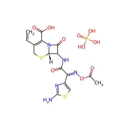 C=CC1=C(C(=O)O)N2C(=O)C(NC(=O)C(=NOC(C)=O)c3csc(N)n3)[C@@H]2SC1.O=P(O)(O)O